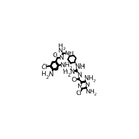 N/C(=N\C(=O)c1cc(Cl)c(N)cc1N)N[C@H]1CC[C@@H](N/C(N)=N/C(=O)c2nc(Cl)c(N)nc2N)CC1